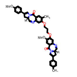 COc1ccc(C2=CN3C(=O)c4cc(C)c(OCCCOc5cc6c(cc5OC)C(=O)N5C=C(c7ccc(C)cc7)C[C@H]5C=N6)cc4N=C[C@@H]3C2)cc1